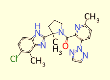 Cc1ccc(-n2nccn2)c(C(=O)N2CCCC2(C)c2nc3c(C)c(Cl)ccc3[nH]2)n1